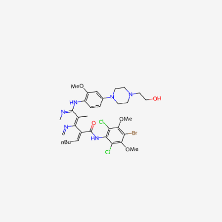 C=NC(=C(C)\C(=N/C)Nc1ccc(N2CCN(CCO)CC2)cc1OC)/C(=C\CCCC)C(=O)Nc1c(Cl)c(OC)c(Br)c(OC)c1Cl